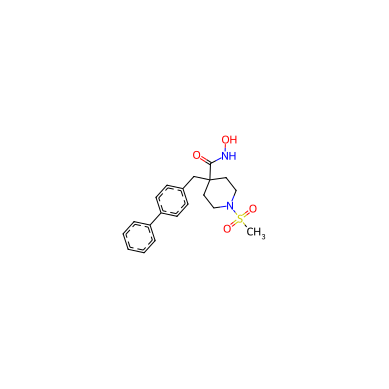 CS(=O)(=O)N1CCC(Cc2ccc(-c3ccccc3)cc2)(C(=O)NO)CC1